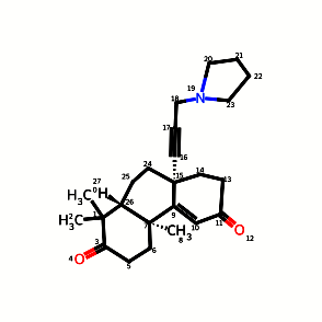 CC1(C)C(=O)CC[C@]2(C)C3=CC(=O)CC[C@]3(C#CCN3CCCC3)CC[C@@H]12